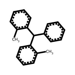 Cc1ccccc1C(c1ccccc1)c1ccccc1C